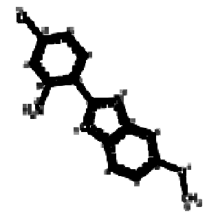 COc1ccc2oc(-c3ccc(Cl)cc3N)nc2c1